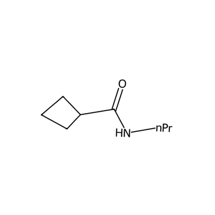 CCCNC(=O)C1CCC1